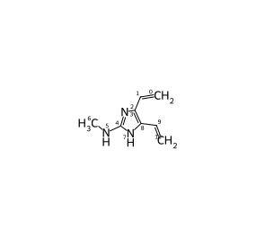 C=Cc1nc(NC)[nH]c1C=C